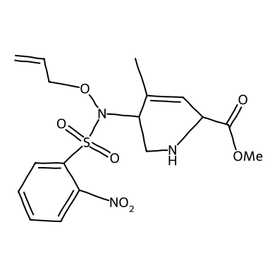 C=CCON(C1CNC(C(=O)OC)C=C1C)S(=O)(=O)c1ccccc1[N+](=O)[O-]